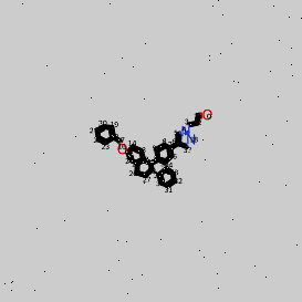 O=CCCn1cc(-c2ccc(C3c4ccc(OCc5ccccc5)cc4CC[C@@H]3c3ccccc3)cc2)cn1